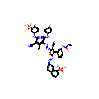 CCC(=O)Nc1cccc(-c2c(N=Nc3ccc4cccc(S(=O)(=O)O)c4c3)sc(N=Nc3c(Nc4ccc(Cl)cc4)nc(Nc4ccc(Cl)c(S(=O)(=O)O)c4)c(C#N)c3C)c2C#N)c1